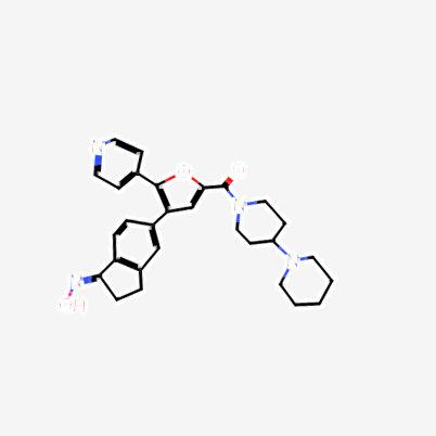 O=C(c1cc(-c2ccc3c(c2)CCC3=NO)c(-c2ccncc2)o1)N1CCC(N2CCCCC2)CC1